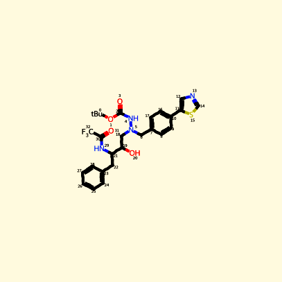 CC(C)(C)OC(=O)NN(Cc1ccc(-c2cncs2)cc1)CC(O)C(Cc1ccccc1)NC(=O)C(F)(F)F